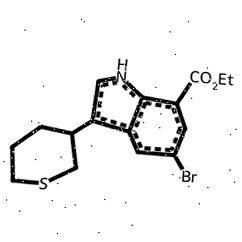 CCOC(=O)c1cc(Br)cc2c(C3CCCSC3)c[nH]c12